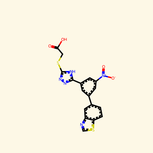 O=C(O)CSc1nnc(-c2cc(-c3ccc4scnc4c3)cc([N+](=O)[O-])c2)[nH]1